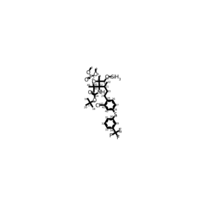 COP(=O)(OC)OC(C)(CO[SiH3])C(NC(=O)OC(C)(C)C)(C(C)CCc1ccc(Sc2cccc(C(F)(F)F)c2)cc1Cl)C(C)(C)C